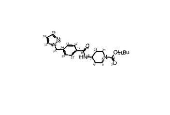 CC(C)(C)OC(=O)N1CCC(NC(=O)c2ccc(Cn3cccn3)cc2)CC1